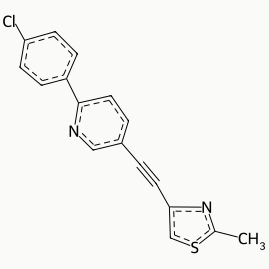 Cc1nc(C#Cc2ccc(-c3ccc(Cl)cc3)nc2)cs1